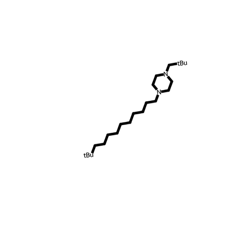 CC(C)(C)CCCCCCCCCCN1CCN(CC(C)(C)C)CC1